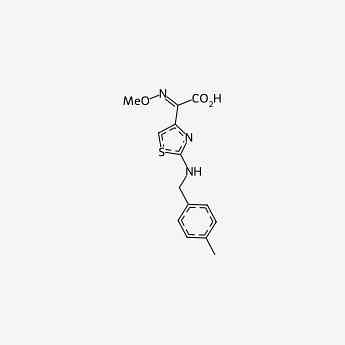 CO/N=C(/C(=O)O)c1csc(NCc2ccc(C)cc2)n1